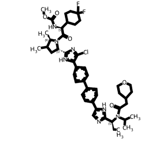 CC[C@@H](c1ncc(-c2ccc(-c3ccc(-c4[nH]c([C@@H]5CC(C)[C@@H](C)N5C(=O)[C@@H](NC(=O)OC)C5CCC(F)(F)CC5)nc4Cl)cc3)cc2)[nH]1)N(C(=O)CC1CCOCC1)C(C)C